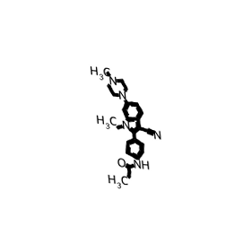 CCC(=O)Nc1ccc(-c2c(C#N)c3ccc(N4CCN(C)CC4)cc3n2CC)cc1